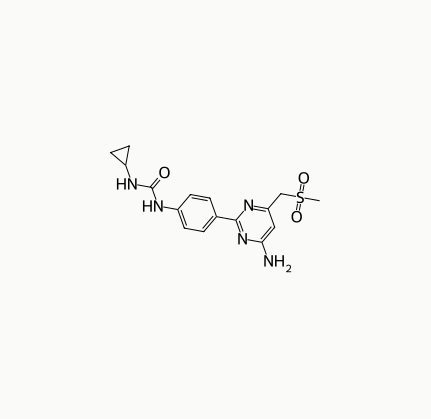 CS(=O)(=O)Cc1cc(N)nc(-c2ccc(NC(=O)NC3CC3)cc2)n1